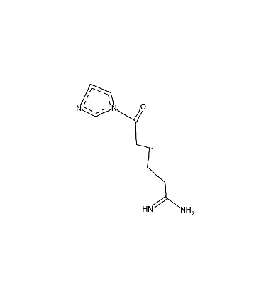 N=C(N)CC[CH]CC(=O)n1ccnc1